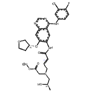 C[C@@H](O)CN(C/C=C/C(=O)Nc1cc2c(Nc3ccc(F)c(Cl)c3)ncnc2cc1O[C@@H]1CCOC1)CC(=O)OC(C)(C)C